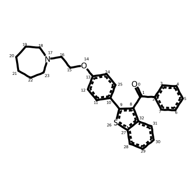 O=C(c1ccccc1)c1c(-c2ccc(OCCN3CCCCCC3)cc2)sc2ccccc12